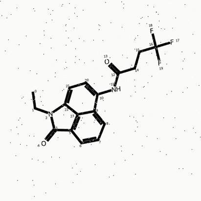 CCN1C(=O)c2cccc3c(NC(=O)CCC(F)(F)F)ccc1c23